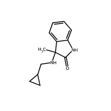 CC1(NCC2CC2)C(=O)Nc2ccccc21